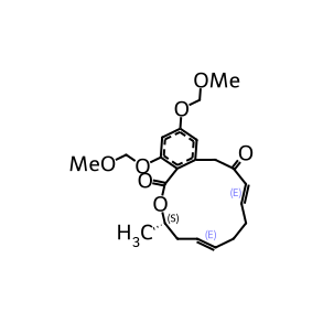 COCOc1cc2c(c(OCOC)c1)C(=O)O[C@@H](C)C/C=C/CC/C=C/C(=O)C2